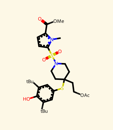 COC(=O)c1ccc(S(=O)(=O)N2CCC(CCOC(C)=O)(Sc3cc(C(C)(C)C)c(O)c(C(C)(C)C)c3)CC2)n1C